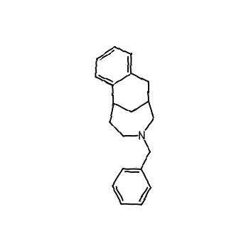 c1ccc(CN2CCC3CC(Cc4ccccc43)C2)cc1